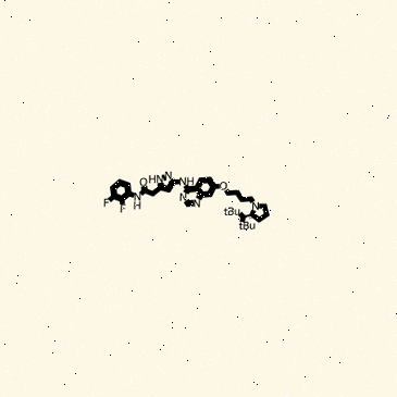 CC(C)(C)C([C@@H]1CCCN1CCCCOc1ccc2c(Nc3cc(CC(=O)Nc4cccc(F)c4F)[nH]n3)ncnc2c1)C(C)(C)C